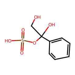 O=S(=O)(O)OC(O)(CO)c1ccccc1